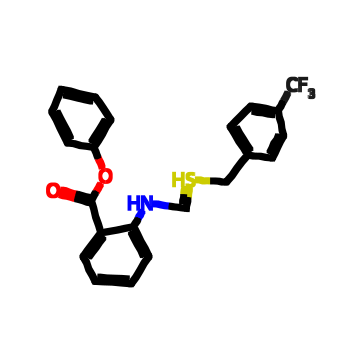 O=C(Oc1ccccc1)c1ccccc1NC=[SH]Cc1ccc(C(F)(F)F)cc1